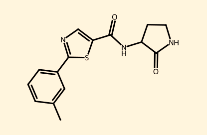 Cc1cccc(-c2ncc(C(=O)NC3CCNC3=O)s2)c1